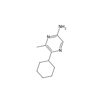 Cc1nc(N)cnc1C1CCCCC1